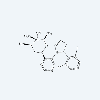 C[C@H]1O[C@@H](c2ccncc2N2C=CSC2c2c(F)cccc2F)C[C@@H](N)[C@]1(C)O